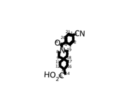 N#Cc1ccc(C(=O)N2CCC3(CCC(CC(=O)O)CC3)CC2)cc1